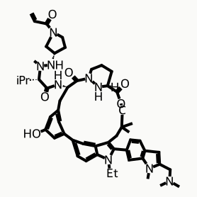 C=CC(=O)N1CC[C@H](NN(C)[C@H](C(=O)N[C@H]2Cc3cc(O)cc(c3)-c3ccc4c(c3)c(c(-c3ccc5cc(CN(C)C)n(C)c5c3)n4CC)CC(C)(C)COC(=O)[C@@H]3CCCN(N3)C2=O)C(C)C)C1